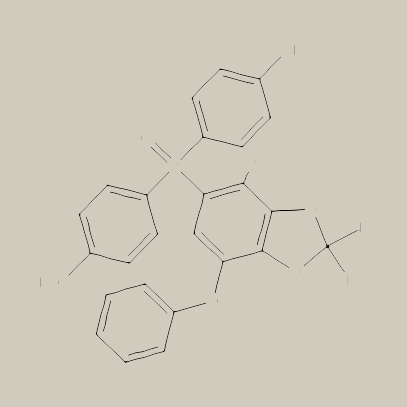 Cc1ccc(P(=O)(c2ccc(C)cc2)c2cc(Oc3ccccc3)c3c(c2Br)OC(F)(F)O3)cc1